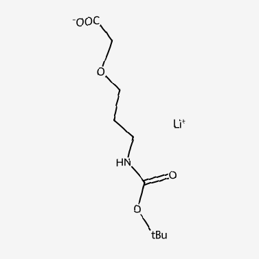 CC(C)(C)OC(=O)NCCCOCC(=O)[O-].[Li+]